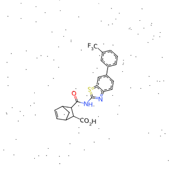 O=C(O)C1C2C=CC(C2)C1C(=O)Nc1nc2ccc(-c3cccc(C(F)(F)F)c3)cc2s1